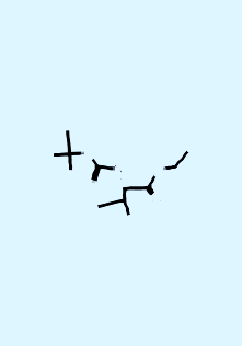 C[CH]OC(=O)[C@@H](NC(=O)OC(C)(C)C)C(C)C